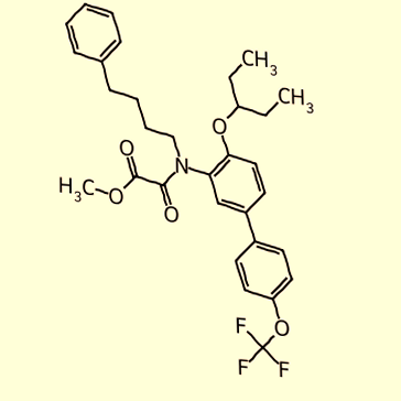 CCC(CC)Oc1ccc(-c2ccc(OC(F)(F)F)cc2)cc1N(CCCCc1ccccc1)C(=O)C(=O)OC